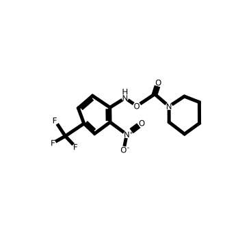 O=C(ONc1ccc(C(F)(F)F)cc1[N+](=O)[O-])N1CCCCC1